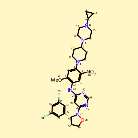 COc1cc(N2CCC(N3CCN(C4CC4)CC3)CC2)c([N+](=O)[O-])cc1Nc1cc(N2OCC[C@@H]2c2cc(F)cc(F)c2)ncn1